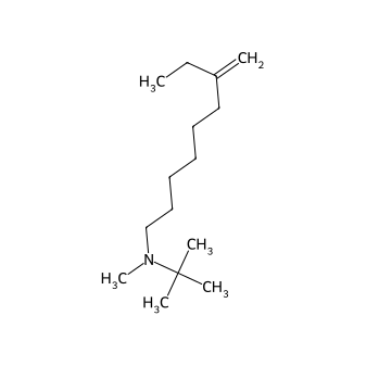 C=C(CC)CCCCCCN(C)C(C)(C)C